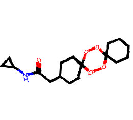 O=C(CC1CCC2(CC1)OOC1(CCCCC1)OO2)NC1CC1